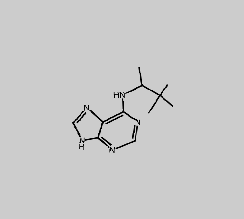 CC(Nc1ncnc2[nH]cnc12)C(C)(C)C